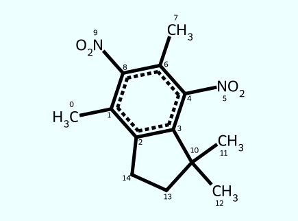 Cc1c2c(c([N+](=O)[O-])c(C)c1[N+](=O)[O-])C(C)(C)CC2